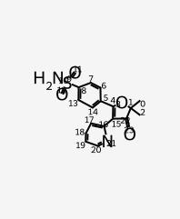 CC1(C)OC(c2ccc(S(N)(=O)=O)cc2)=C(c2ccccn2)C1=O